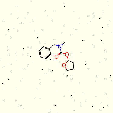 CN(Cc1ccccc1)C(=O)O[C@H]1CCCO1